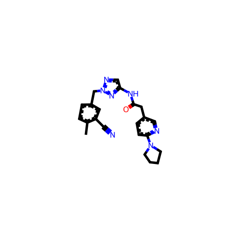 Cc1ccc(Cn2ncc(NC(=O)Cc3ccc(N4CCCC4)nc3)n2)cc1C#N